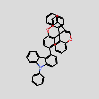 c1ccc(-c2cccc3c2C2(c4ccccc4Oc4ccc(-c5cccc6c5c5ccccc5n6-c5ccccc5)cc42)c2ccccc2O3)cc1